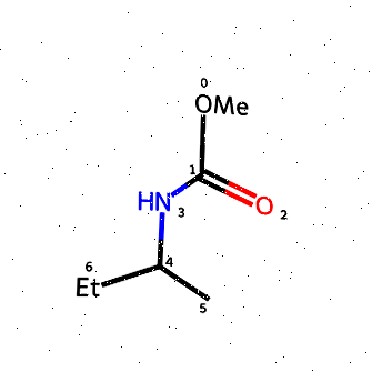 [CH2]OC(=O)NC(C)CC